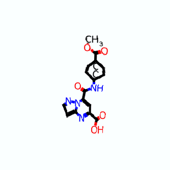 COC(=O)C12CCC(NC(=O)c3cc(C(=O)O)nc4ccnn34)(CC1)CC2